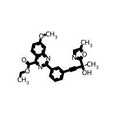 CCOC(=O)c1nc(-c2cccc(C#C[C@](C)(O)c3ncc(C)o3)c2)nc2cc(OC)ccc12